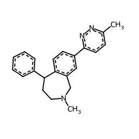 Cc1ccc(-c2ccc3c(c2)CN(C)CCC3c2ccccc2)nn1